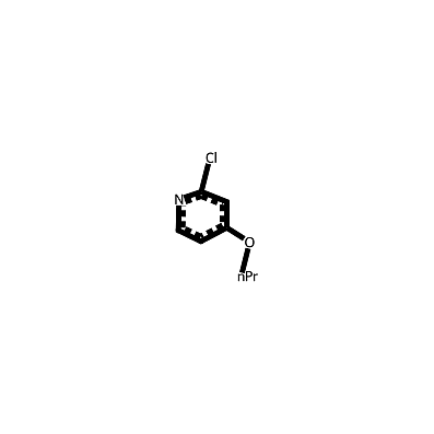 C[CH]COc1ccnc(Cl)c1